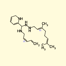 C=C/C=C\CNC(NNC/C=C(\C)CCC=C(C)C)C1=CC=CCN1